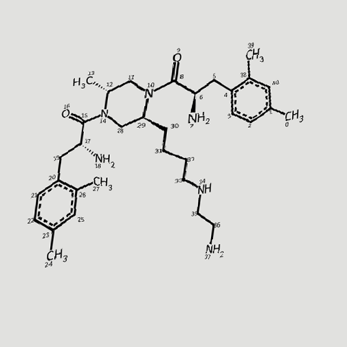 Cc1ccc(C[C@@H](N)C(=O)N2C[C@@H](C)N(C(=O)[C@H](N)Cc3ccc(C)cc3C)C[C@@H]2CCCCNCCN)c(C)c1